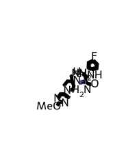 COc1ncc(N2CCC(CN)(N/C=C(\C(=N)Nc3ccc(F)cc3)C(N)=O)CC2)cn1